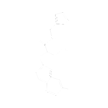 CSC(Oc1ccc2ncc(Br)cc2c1)C(=O)NCc1ccno1